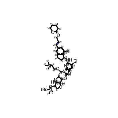 CC(C)(C)[Si](C)(C)OC1CO[C@H]2[C@@H]1OC[C@H]2Oc1nc2cc(Cl)c(N[C@H]3CCc4cc(/C=C/COC5CCCCO5)cc(F)c43)nc2n1COCC[Si](C)(C)C